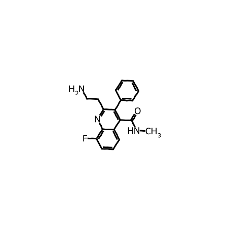 CNC(=O)c1c(-c2ccccc2)c(CCN)nc2c(F)cccc12